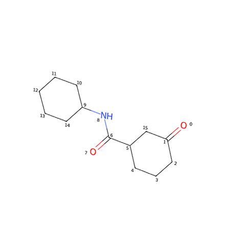 O=C1CCCC(C(=O)NC2CCCCC2)C1